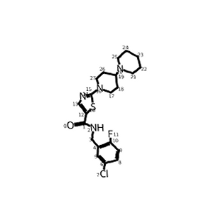 O=C(NCc1cc(Cl)ccc1F)c1cnc(N2CCC(N3CCCCC3)CC2)s1